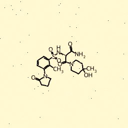 Cc1c(N2CCCC2=O)cccc1S(=O)(=O)N[C@@H](C(N)=O)C(=O)N1CCC(C)(O)CC1